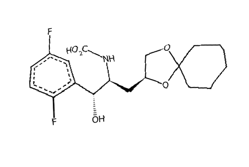 O=C(O)N[C@@H](C[C@H]1COC2(CCCCC2)O1)[C@H](O)c1cc(F)ccc1F